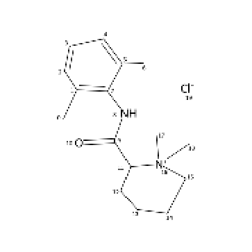 Cc1cccc(C)c1NC(=O)C1CCCC[N+]1(C)C.[Cl-]